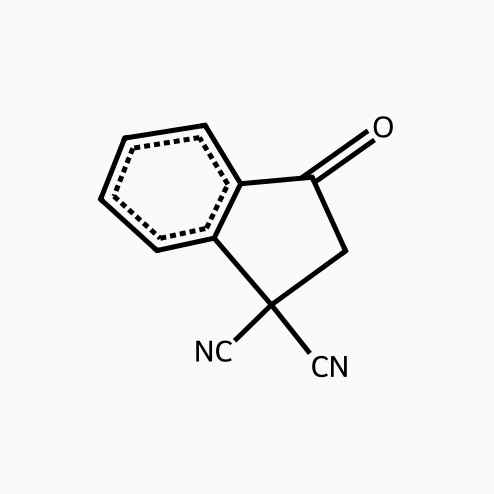 N#CC1(C#N)CC(=O)c2ccccc21